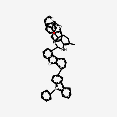 C/C1=C(/c2ccc3c(c2)oc2ccccc23)NC(c2cccc3oc4c(-c5ccc6c(c5)c5ccccc5n6-c5ccccc5)cccc4c23)/N=C(/c2ccccc2)CC1